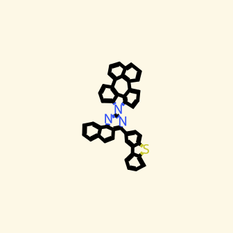 c1cc2c3c(cccc3c1)-c1cccc3c1c1c-2cccc1n3-c1nc(-c2ccc3sc4ccccc4c3c2)c2ccc3ccccc3c2n1